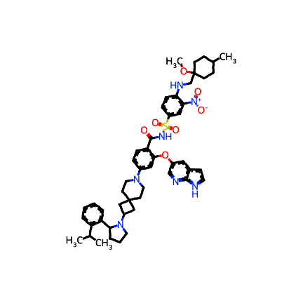 COC1(CNc2ccc(S(=O)(=O)NC(=O)c3ccc(N4CCC5(CC4)CC(N4CCCC4c4ccccc4C(C)C)C5)cc3Oc3cnc4[nH]ccc4c3)cc2[N+](=O)[O-])CCC(C)CC1